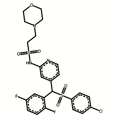 O=S(=O)(CCN1CCOCC1)Nc1cc(C(c2cc(F)ccc2F)S(=O)(=O)c2ccc(Cl)cc2)ccn1